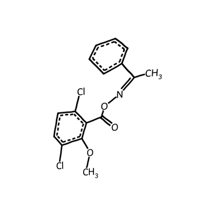 COc1c(Cl)ccc(Cl)c1C(=O)ON=C(C)c1ccccc1